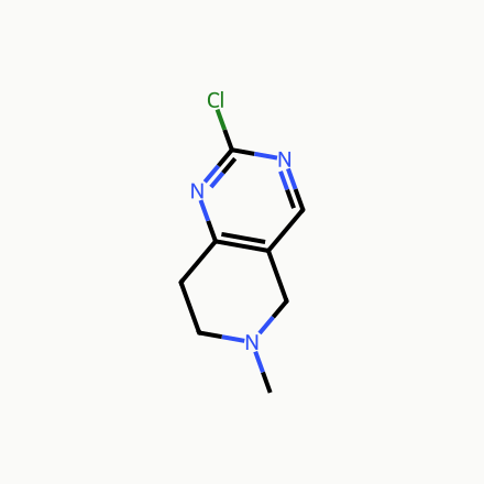 CN1CCc2nc(Cl)ncc2C1